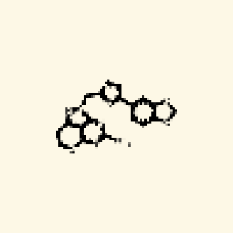 Nc1nc2c3c(nn(Cc4ncc(-c5ccc6c(c5)OCO6)s4)c3n1)CCS2